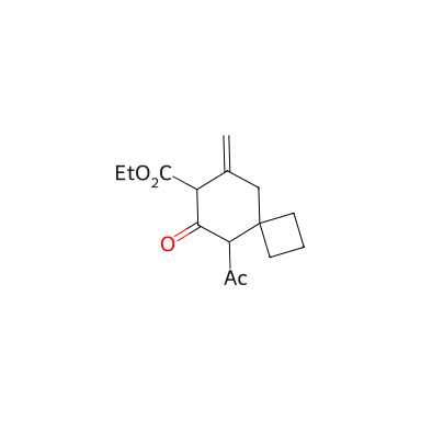 C=C1CC2(CCC2)C(C(C)=O)C(=O)C1C(=O)OCC